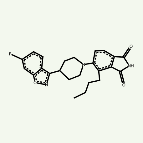 CCCCc1c(N2CCC(c3noc4cc(F)ccc34)CC2)ccc2c1C(=O)NC2=O